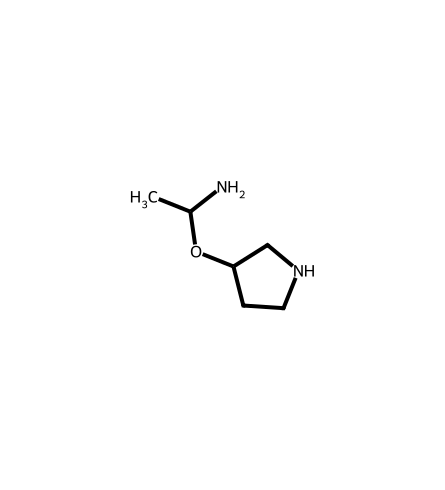 CC(N)OC1CCNC1